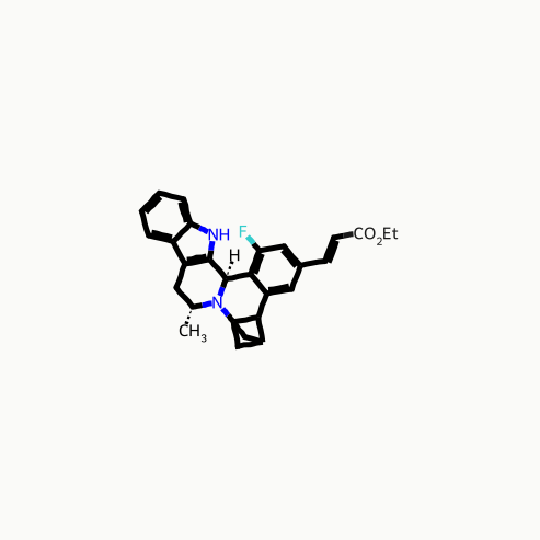 CCOC(=O)/C=C/c1cc(F)c2c(c1)C1C3CC1(C3)N1[C@H]2c2[nH]c3ccccc3c2C[C@H]1C